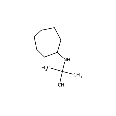 CC(C)(C)NC1CCCCCC1